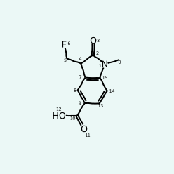 CN1C(=O)C(CF)c2cc(C(=O)O)ccc21